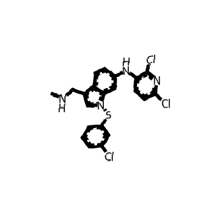 CNCc1cn(Sc2cccc(Cl)c2)c2cc(Nc3ccc(Cl)nc3Cl)ccc12